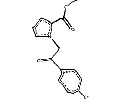 COC(=O)c1cccn1CC(=O)c1ccc(Br)cc1